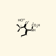 CC=C(NC(=O)O)C(=O)N(C)C.Cl